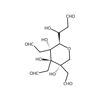 O=CCC(O)[C@H]1O[CH][C@@](O)(CC=O)[C@](O)(CC=O)[C@@]1(O)CC=O